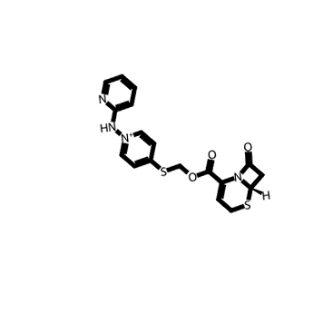 O=C(OCSc1cc[n+](Nc2ccccn2)cc1)C1=CCS[C@H]2CC(=O)N12